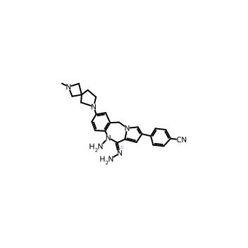 CN1CC2(CCN(c3ccc4c(c3)Cn3cc(-c5ccc(C#N)cc5)cc3/C(=N/N)N4N)C2)C1